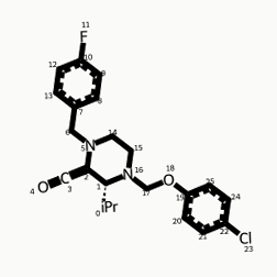 CC(C)[C@@H]1C(=C=O)N(Cc2ccc(F)cc2)CCN1COc1ccc(Cl)cc1